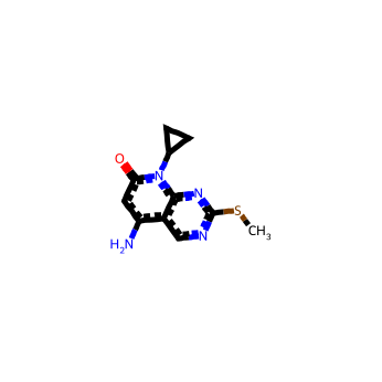 CSc1ncc2c(N)cc(=O)n(C3CC3)c2n1